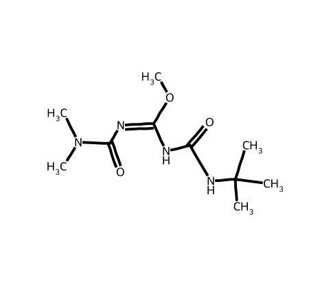 COC(=NC(=O)N(C)C)NC(=O)NC(C)(C)C